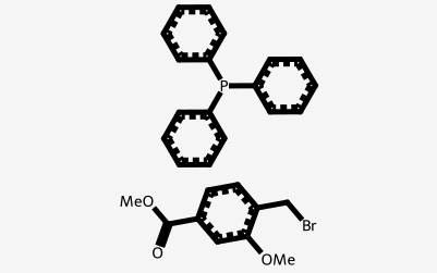 COC(=O)c1ccc(CBr)c(OC)c1.c1ccc(P(c2ccccc2)c2ccccc2)cc1